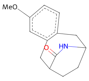 COc1ccc2c(c1)CC1CCC(C2)NC1=O